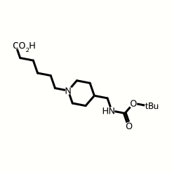 CC(C)(C)OC(=O)NCC1CCN(CCCCCC(=O)O)CC1